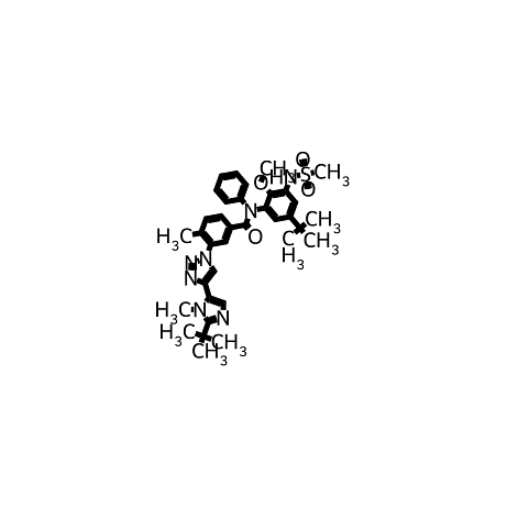 COc1c(NS(C)(=O)=O)cc(C(C)(C)C)cc1N(C(=O)c1ccc(C)c(-n2cc(-c3cnc(C(C)(C)C)n3C)nn2)c1)c1ccccc1